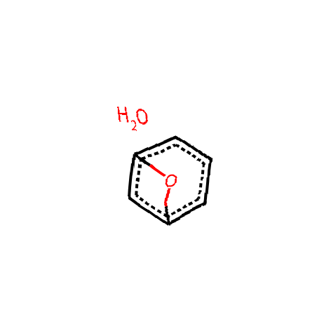 O.c1cc2cc(c1)O2